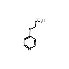 O=C(O)CSc1ccncc1